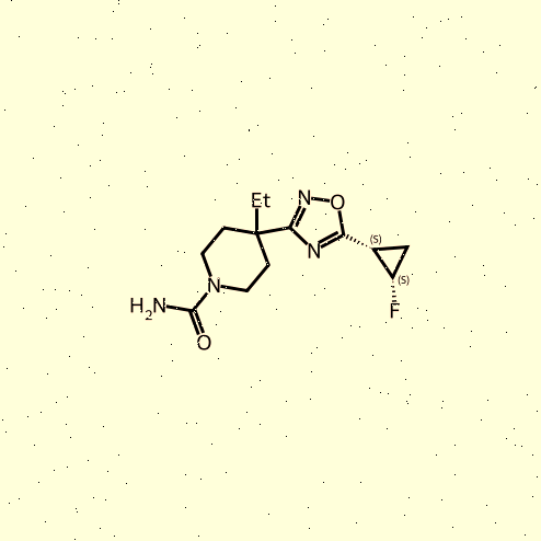 CCC1(c2noc([C@@H]3C[C@@H]3F)n2)CCN(C(N)=O)CC1